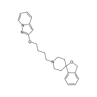 c1ccc2c(c1)COC21CCN(CCCCOc2cc3ccccn3n2)CC1